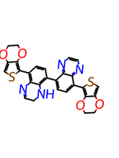 C1=Nc2c(-c3scc4c3OCCO4)ccc(-c3ccc(-c4scc5c4OCCO5)c4nccnc34)c2NC1